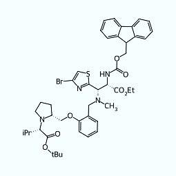 CCOC(=O)[C@@H](NC(=O)OCC1c2ccccc2-c2ccccc21)[C@@H](c1nc(Br)cs1)N(C)Cc1ccccc1OC[C@H]1CCCN1[C@H](C(=O)OC(C)(C)C)C(C)C